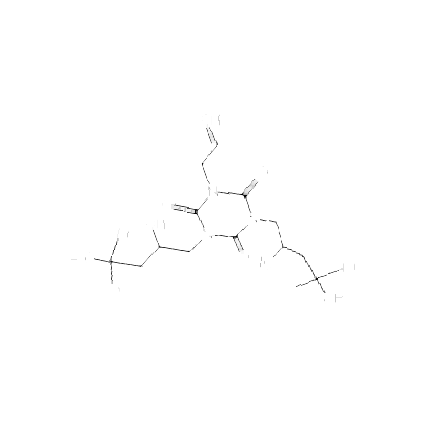 C=CCn1c(=O)n(CC(O)CC(C)(CC)CC)c(=O)n(CC(O)CC(C)(CC)CC)c1=O